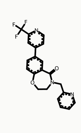 O=C1c2cc(-c3ccnc(C(F)(F)F)c3)ccc2OCCN1Cc1ccccn1